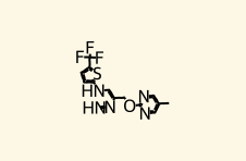 Cc1cnc(OC/C(=C/Nc2ccc(C(F)(F)F)s2)N=N)nc1